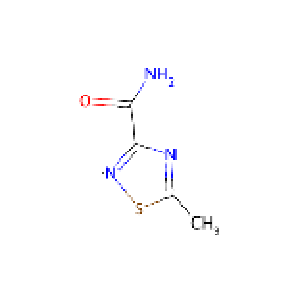 CC1=NC(C(N)=O)=[N+]S1